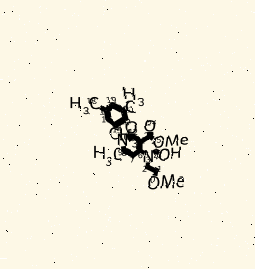 COCCN(CO)c1cc(C)nc(Oc2c(C)cc(C)cc2C)c1C(=O)OC